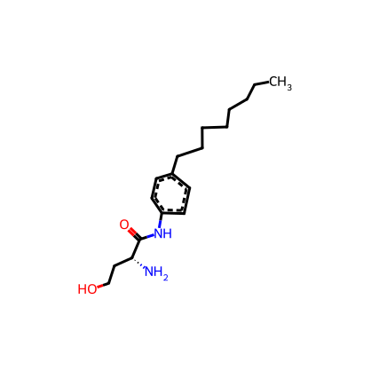 CCCCCCCCc1ccc(NC(=O)[C@H](N)CCO)cc1